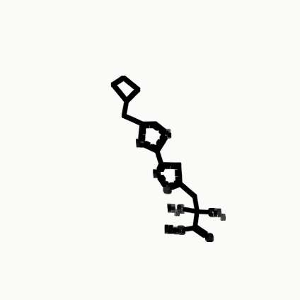 COC(=O)C(C)(C)Cc1cc(-c2nc(CC3CCC3)cs2)no1